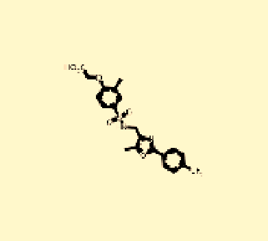 Cc1cc(S(=O)(=O)NCc2nc(-c3ccc(C(F)(F)F)cc3)oc2C)ccc1OCC(=O)O